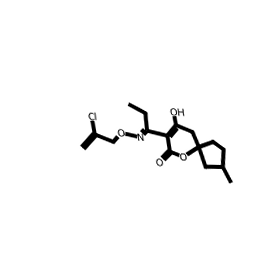 C=C(Cl)CON=C(CC)C1=C(O)CC2(CCC(C)C2)OC1=O